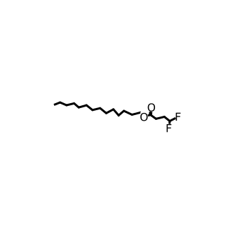 CCCCCCCCCCCCCCOC(=O)CCC(F)F